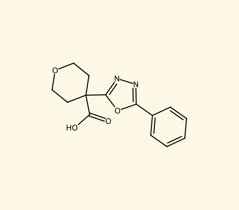 O=C(O)C1(c2nnc(-c3ccccc3)o2)CCOCC1